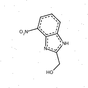 O=[N+]([O-])c1cccc2[nH]c(CO)nc12